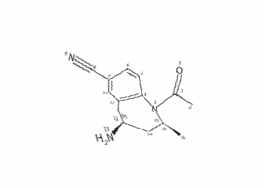 CC(=O)N1c2ccc(C#N)cc2[C@H](N)C[C@@H]1C